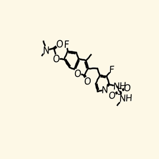 CNS(=O)(=O)Nc1nccc(Cc2c(C)c3cc(F)c(OC(=O)N(C)C)cc3oc2=O)c1F